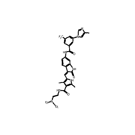 CCN(CC)CCNC(=O)c1c(C)[nH]c(/C=C2\C(=O)Nc3cc(NC(=O)c4cc(-n5cnc(C)c5)cc(C(F)(F)F)c4)ccc32)c1C